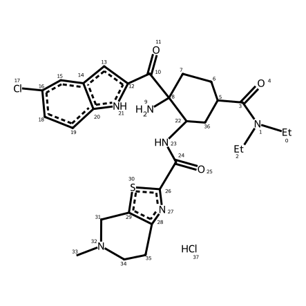 CCN(CC)C(=O)C1CCC(N)(C(=O)c2cc3cc(Cl)ccc3[nH]2)C(NC(=O)c2nc3c(s2)CN(C)CC3)C1.Cl